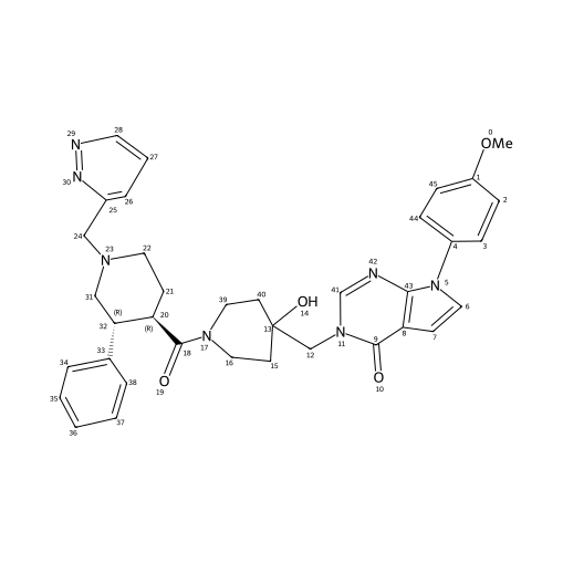 COc1ccc(-n2ccc3c(=O)n(CC4(O)CCN(C(=O)[C@@H]5CCN(Cc6cccnn6)C[C@H]5c5ccccc5)CC4)cnc32)cc1